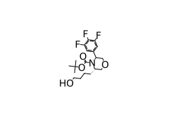 CC(C)(C)OC(=O)N1C(c2cc(F)c(F)c(F)c2)COC[C@@H]1CCCCO